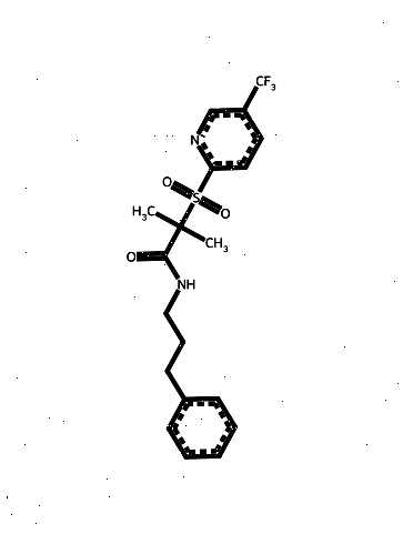 CC(C)(C(=O)NCCCc1ccccc1)S(=O)(=O)c1ccc(C(F)(F)F)cn1